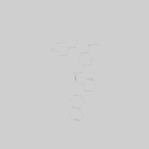 CC(=O)N(c1cc(-n2nc(C(C)C)c3c(-c4cnc5ccccc5c4)ccnc32)ccc1C(N)=O)C1CCNCC1